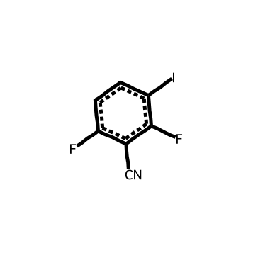 N#Cc1c(F)ccc(I)c1F